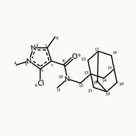 Cc1nn(C)c(Cl)c1C(=O)N(C)CC12CC3CC(CC(C3)C1)C2